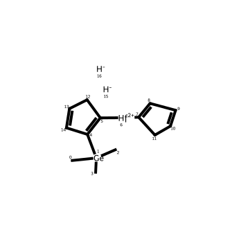 [CH3][Ge]([CH3])([CH3])[C]1=[C]([Hf+2][C]2=CC=CC2)CC=C1.[H-].[H-]